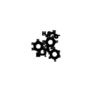 BrC[P+](c1ccccc1)(c1ccccc1)c1ccccc1.CC[O-]